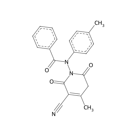 CC1=C(C#N)C(=O)N(N(C(=O)c2ccccc2)c2ccc(C)cc2)C(=O)C1